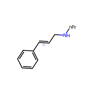 CCCNC/C=C/c1ccccc1